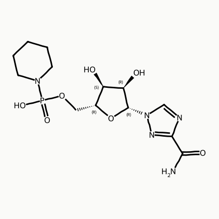 NC(=O)c1ncn([C@@H]2O[C@H](COP(=O)(O)N3CCCCC3)[C@@H](O)[C@H]2O)n1